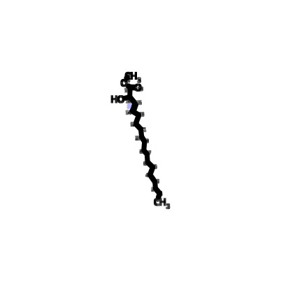 CCCCCCCCCCCCCC/C=C/C(O)C(=O)OC